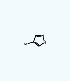 CC(=O)C1=C[N]N=C1